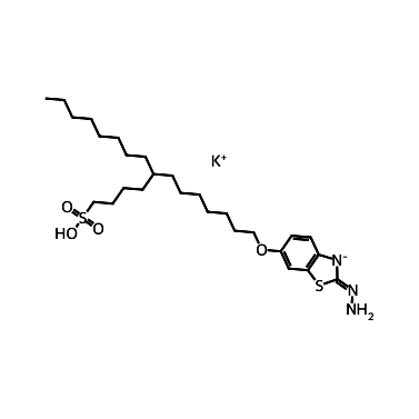 CCCCCCCCC(CCCCCCCOc1ccc2[n-]c(=NN)sc2c1)CCCCS(=O)(=O)O.[K+]